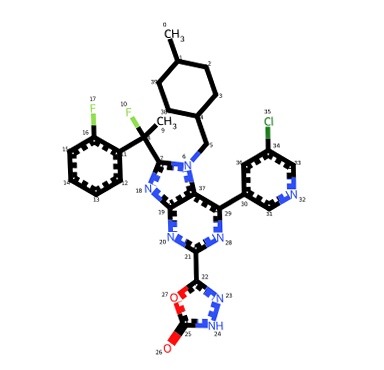 CC1CCC(Cn2c(C(C)(F)c3ccccc3F)nc3nc(-c4n[nH]c(=O)o4)nc(-c4cncc(Cl)c4)c32)CC1